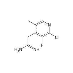 Cc1cnc(Cl)c(F)c1CC(=N)N